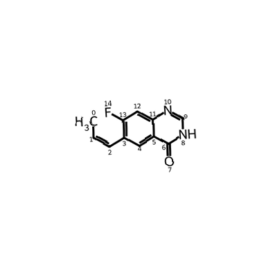 C/C=C\c1cc2c(=O)[nH]cnc2cc1F